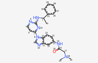 CC(Nc1nccc(-n2cnc3cc(NC(=O)CN(C)C)ccc32)n1)c1ccccc1